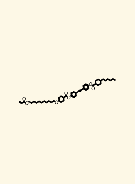 C=CC(=O)OCCCCCCCCCCCOC1CCC(C(=O)Oc2ccc(C#Cc3ccc(OC(=O)C4CCC(CCCCCC)CC4)cc3)cc2)CC1